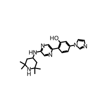 CC1(C)CC(Nc2cnc(-c3ccc(-n4ccnc4)cc3O)cn2)CC(C)(C)N1